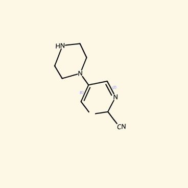 C/C=C(\C=N/C(C)C#N)N1CCNCC1